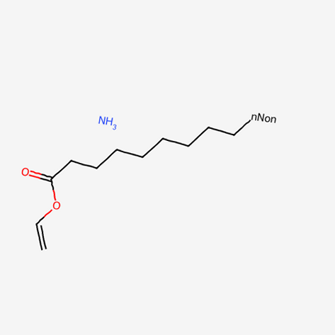 C=COC(=O)CCCCCCCCCCCCCCCCC.N